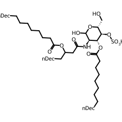 CCCCCCCCCCCCCCCCCC(=O)OC(CCCCCCCCCCC)CC(=O)N[C@H]1C(O)O[C@H](CO)[C@@H](OS(=O)(=O)O)[C@@H]1OC(=O)CCCCCCCCCCCCCCCCC